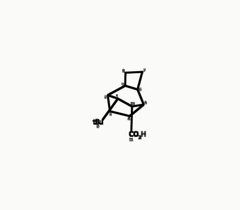 CC(C)(C)C1C2CCC(C3CCC32)C1C(=O)O